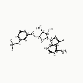 Cc1cn([C@@H]2O[C@H](COc3cccc(CN(C)C)c3)[C@@H](O)[C@@H]2F)c2ncnc(N)c12